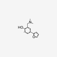 CN(C)Cc1cc(-c2ccco2)c[c]c1O